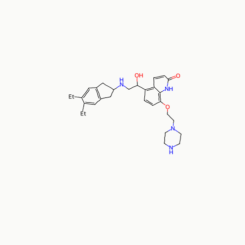 CCc1cc2c(cc1CC)CC(NCC(O)c1ccc(OCCN3CCNCC3)c3[nH]c(=O)ccc13)C2